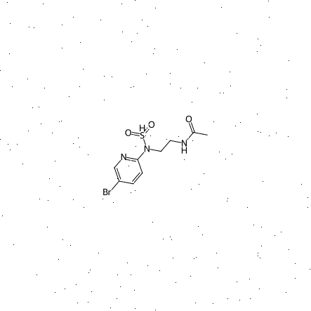 CC(=O)NCCN(c1ccc(Br)cn1)[SH](=O)=O